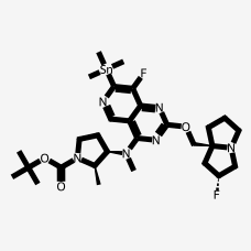 C[C@@H]1[C@H](N(C)c2nc(OC[C@@]34CCCN3C[C@H](F)C4)nc3c(F)[c]([Sn]([CH3])([CH3])[CH3])ncc23)CCN1C(=O)OC(C)(C)C